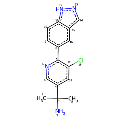 CC(C)(N)c1cnc(-c2ccc3[nH]ncc3c2)c(Cl)c1